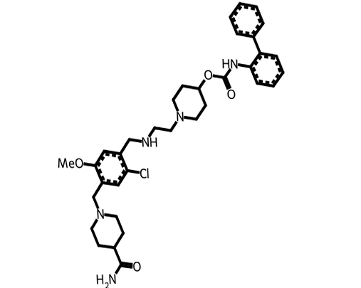 COc1cc(CNCCN2CCC(OC(=O)Nc3ccccc3-c3ccccc3)CC2)c(Cl)cc1CN1CCC(C(N)=O)CC1